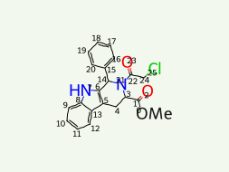 COC(=O)C1Cc2c([nH]c3ccccc23)C(c2ccccc2)N1C(=O)CCl